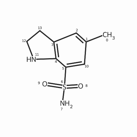 Cc1cc2c(c(S(N)(=O)=O)c1)NCC2